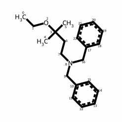 CCOC(C)(C)CCN(Cc1ccccc1)Cc1ccccc1